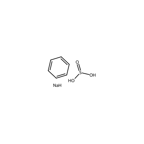 O=S(O)O.[NaH].c1ccccc1